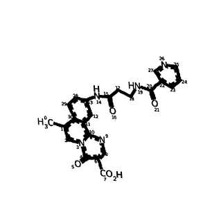 Cc1cn2c(=O)c(C(=O)O)cnc2c2cc(NC(=O)CCNC(=O)c3cccnc3)ccc12